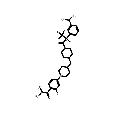 CC(C)c1cccc([C@@](O)(C(=O)N2CCC(CC3CCN(c4ccc(C(=O)N(C)C)c(Cl)c4)CC3)CC2)C(F)(F)F)c1